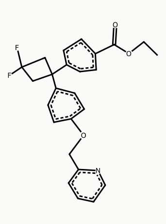 CCOC(=O)c1ccc(C2(c3ccc(OCc4ccccn4)cc3)CC(F)(F)C2)cc1